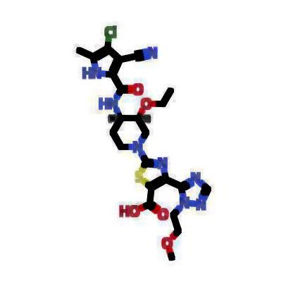 CCO[C@H]1CN(c2nc(-c3ncnn3CCOC)c(C(=O)O)s2)CC[C@H]1NC(=O)c1[nH]c(C)c(Cl)c1C#N